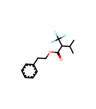 CC(C)C(C(=O)OCCc1ccccc1)C(F)(F)F